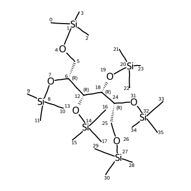 C[Si](C)(C)OC[C@@H](O[Si](C)(C)C)[C@@H](O[Si](C)(C)C)[C@H](O[Si](C)(C)C)[C@@H](CO[Si](C)(C)C)O[Si](C)(C)C